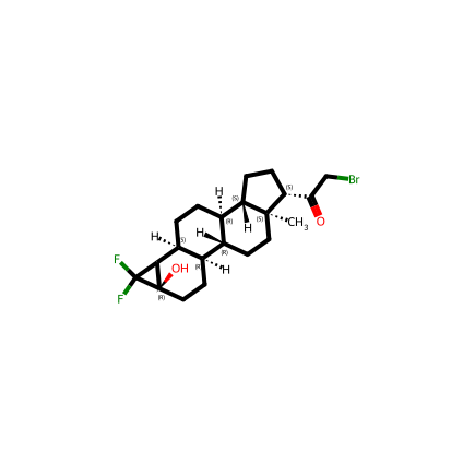 C[C@]12CC[C@@H]3[C@H]4CC[C@@]5(O)C([C@H]4CC[C@H]3[C@@H]1CC[C@@H]2C(=O)CBr)C5(F)F